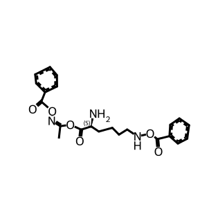 CC(=NOC(=O)c1ccccc1)OC(=O)[C@@H](N)CCCCNOC(=O)c1ccccc1